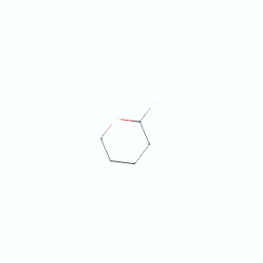 BrC1CCCCO1